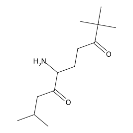 CC(C)CC(=O)C(N)CCC(=O)C(C)(C)C